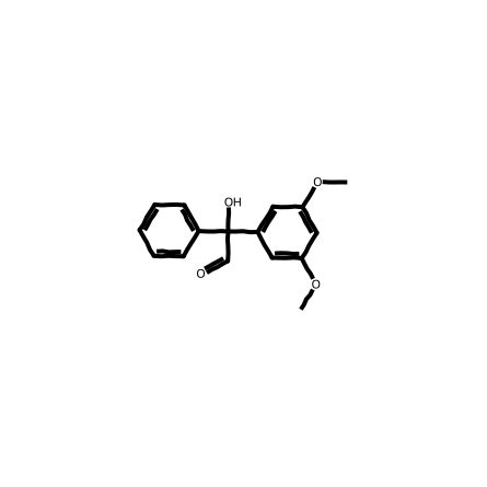 COc1cc(OC)cc(C(O)(C=O)c2ccccc2)c1